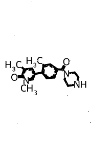 Cc1cc(C(=O)N2CCNCC2)ccc1-c1cc(C)c(=O)n(C)c1